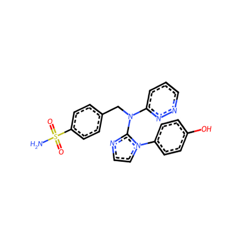 NS(=O)(=O)c1ccc(CN(c2cccnn2)c2nccn2-c2ccc(O)cc2)cc1